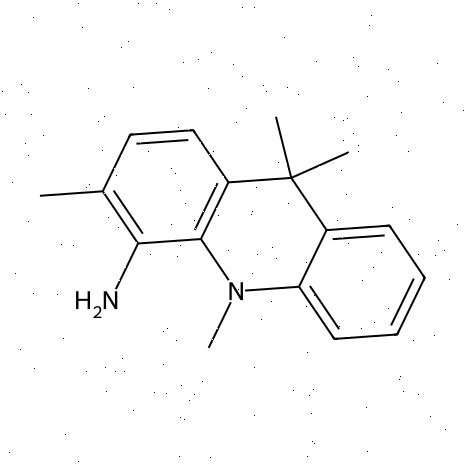 Cc1ccc2c(c1N)N(C)c1ccccc1C2(C)C